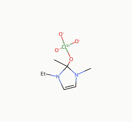 CCN1C=CN(C)C1(C)O[Cl+3]([O-])([O-])[O-]